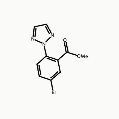 COC(=O)c1cc(Br)ccc1-n1nccn1